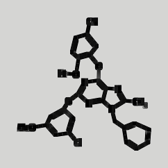 CCOc1ccc(C#N)cc1Oc1nc(Oc2cc(Cl)cc(OC)c2)nc2c1nc(C)n2Cc1ccccc1